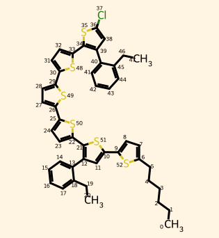 CCCCCCc1ccc(-c2cc(-c3ccccc3CC)c(-c3ccc(-c4ccc(-c5ccc(-c6sc(Cl)cc6-c6ccccc6CC)s5)s4)s3)s2)s1